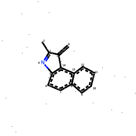 C=C1C(C)=Nc2ccc3ccccc3c21